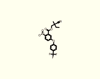 CCC(C)(C#N)COC(=O)c1cc(Oc2ccc(C(F)(F)F)cc2)ccc1[N+](=O)[O-]